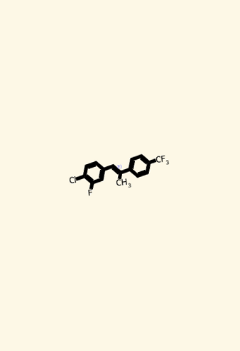 C/C(=C\c1ccc(Cl)c(F)c1)c1ccc(C(F)(F)F)cc1